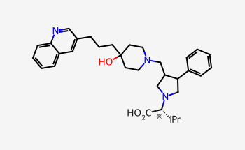 CC(C)[C@H](C(=O)O)N1CC(CN2CCC(O)(CCCc3cnc4ccccc4c3)CC2)C(c2ccccc2)C1